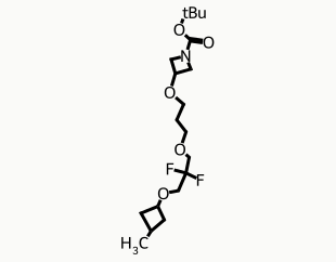 CC1CC(OCC(F)(F)COCCCOC2CN(C(=O)OC(C)(C)C)C2)C1